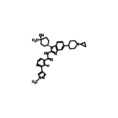 Cn1cc(-c2nccc(C(=O)Nc3nc4cc(C5CCN(C6CC6)CC5)ccc4n3[C@H]3CC[C@@](C)(O)CC3)c2F)cn1